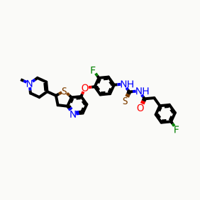 CN1CC=C(C2Cc3nccc(Oc4ccc(NC(=S)NC(=O)Cc5ccc(F)cc5)cc4F)c3S2)CC1